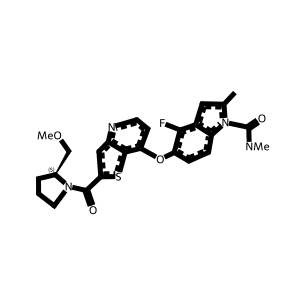 CNC(=O)n1c(C)cc2c(F)c(Oc3ccnc4cc(C(=O)N5CCC[C@H]5COC)sc34)ccc21